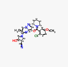 COc1ccc(Cl)c(C(=O)N2CCCC[C@H]2c2cc3nc(N4C[C@@H](C#N)[C@@H](O)C4)c(C)cn3n2)c1